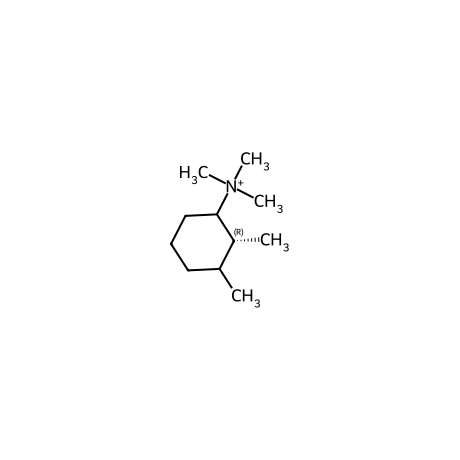 CC1CCCC([N+](C)(C)C)[C@@H]1C